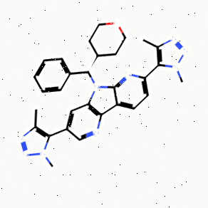 Cc1nnn(C)c1-c1cnc2c3ccc(-c4c(C)nnn4C)nc3n([C@@H](c3ccccc3)C3CCOCC3)c2c1